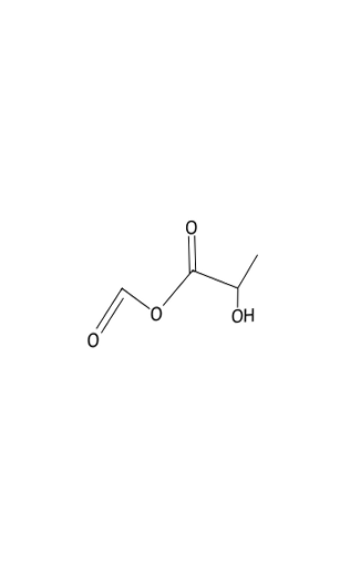 CC(O)C(=O)OC=O